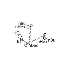 CCCCCCCCCCN(C(=O)CCCN(CC)C1CCC(O)CC1)C(CCCCCCCCC(=O)OCC(CCCC)CCCCCC)CCCCCCCCC(=O)OCC(CCCC)CCCCCC